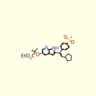 CCOC(=O)C(C)(C)Oc1cnc2[nH]c(/C(=C/C3CCCC3)c3ccc(S(C)(=O)=O)cc3)cc2c1